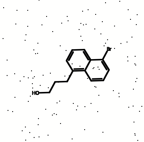 OCCCc1cccc2c(Br)cccc12